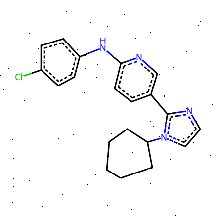 Clc1ccc(Nc2ccc(-c3nccn3C3CCCCC3)cn2)cc1